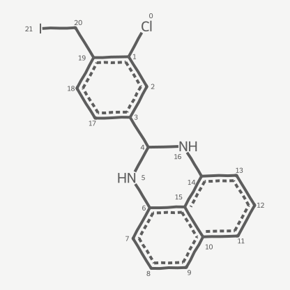 Clc1cc(C2Nc3cccc4cccc(c34)N2)ccc1CI